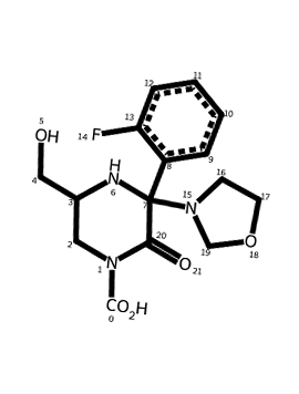 O=C(O)N1CC(CO)NC(c2ccccc2F)(N2CCOC2)C1=O